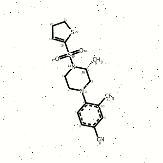 C[C@@H]1CN(c2ccc(C#N)cc2C(F)(F)F)CCN1S(=O)(=O)C1=CCCS1